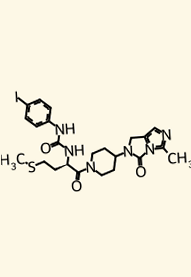 CSCC[C@@H](NC(=O)Nc1ccc(I)cc1)C(=O)N1CCC(N2Cc3cnc(C)n3C2=O)CC1